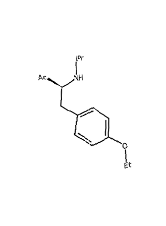 CCOc1ccc(C[C@H](NC(C)C)C(C)=O)cc1